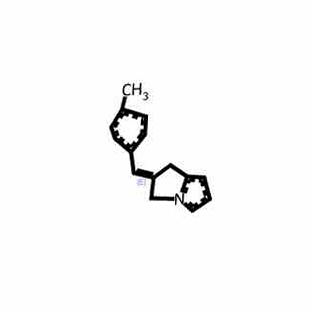 Cc1ccc(/C=C2\Cc3cccn3C2)cc1